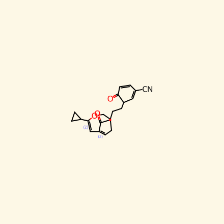 N#CC1=CC(CCCC(=O)C2=C\CCCO/C(C3CC3)=C\2)C(=O)C=C1